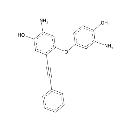 Nc1cc(Oc2cc(N)c(O)cc2C#Cc2ccccc2)ccc1O